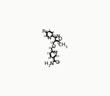 Cc1onc(-c2ccc(F)cn2)c1COCc1ccc(C(N)=O)cn1